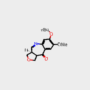 CCCCOc1cc2c(cc1OC)C(=O)C1COC[C@H]1C=N2